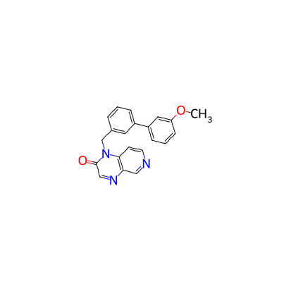 COc1cccc(-c2cccc(Cn3c(=O)cnc4cnccc43)c2)c1